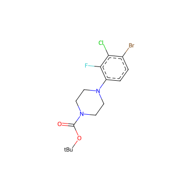 CC(C)(C)OC(=O)N1CCN(c2ccc(Br)c(Cl)c2F)CC1